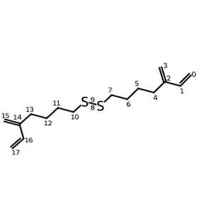 C=CC(=C)CCCCSSCCCCC(=C)C=C